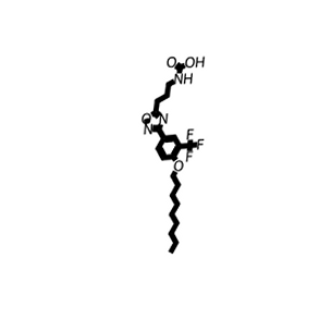 CCCCCCCCCOc1ccc(-c2noc(CCCNC(=O)O)n2)cc1C(F)(F)F